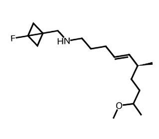 COC(C)CC[C@H](C)/C=C/CCCNCC12CC1(F)C2